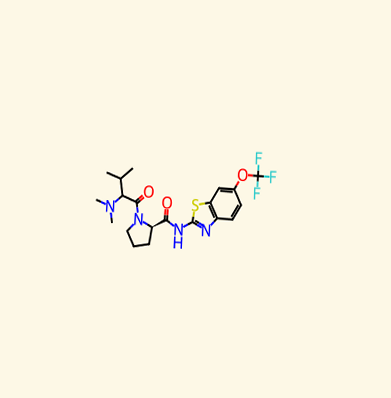 CC(C)C(C(=O)N1CCC[C@@H]1C(=O)Nc1nc2ccc(OC(F)(F)F)cc2s1)N(C)C